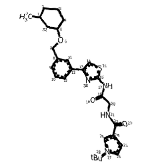 CC1CCCC(OCc2cccc(-c3csc(NC(=O)CNC(=O)c4ccn(C(C)(C)C)c4)n3)c2)C1